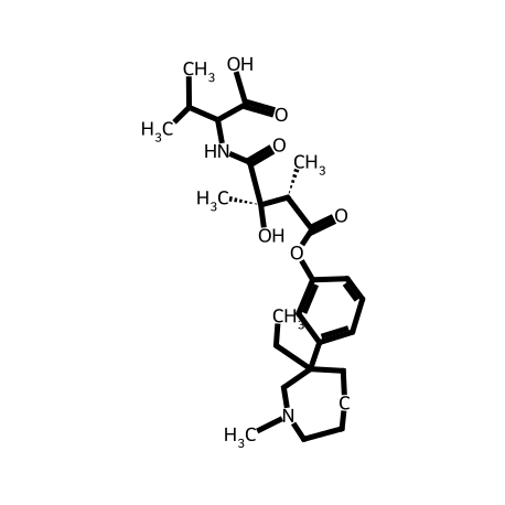 CCC1(c2cccc(OC(=O)[C@@H](C)[C@@](C)(O)C(=O)NC(C(=O)O)C(C)C)c2)CCCCN(C)C1